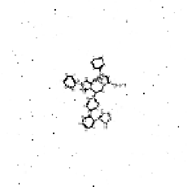 CCCCCC1=CN(c2ccccc2)NN1CC(c1ccc(-c2ccccc2-c2nnn[nH]2)cn1)N1NN(c2ccccc2)C=C1CCCCC